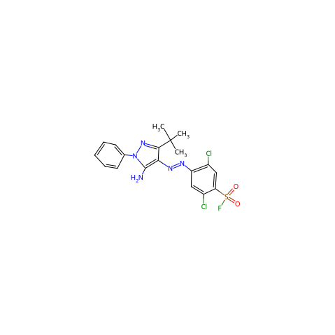 CC(C)(C)c1nn(-c2ccccc2)c(N)c1/N=N/c1cc(Cl)c(S(=O)(=O)F)cc1Cl